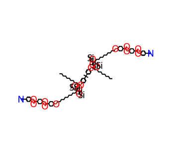 CCCCCCCCCCC(Oc1ccc(C(C)(C)c2ccc(OC(CCCCCCCCCC)[Si](C)(O[Si](C)(C)C)O[Si](C)(CCCCCCCCCCCOC3CCC(C(=O)OC4CCC(C(=O)Oc5ccc(C#N)cc5)CC4)CC3)O[Si](C)(C)C)cc2)cc1)[Si](C)(O[Si](C)(C)C)O[Si](C)(CCCCCCCCCCCOC1CCC(C(=O)OC2CCC(C(=O)Oc3ccc(C#N)cc3)CC2)CC1)O[Si](C)(C)C